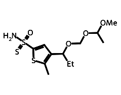 CCC(OCOC(C)OC)c1cc(S(N)(=O)=S)sc1C